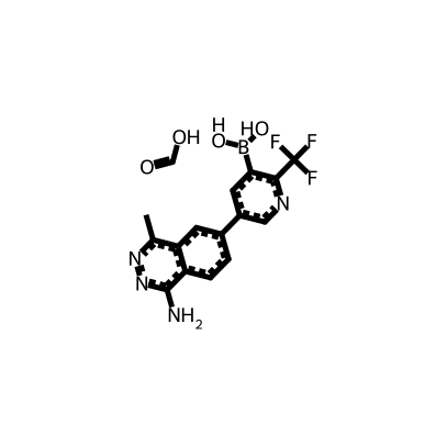 Cc1nnc(N)c2ccc(-c3cnc(C(F)(F)F)c(B(O)O)c3)cc12.O=CO